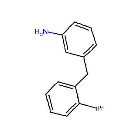 CC(C)c1ccccc1Cc1cccc(N)c1